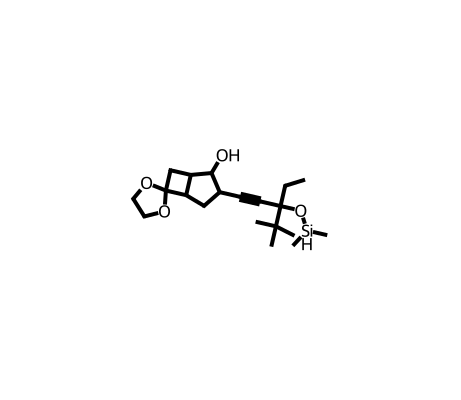 CCC(C#CC1CC2C(CC23OCCO3)C1O)(O[SiH](C)C)C(C)(C)C